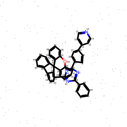 c1ccc(-c2nc(-c3ccc(-c4ccncc4)cc3)nc(-c3cccc4c3C3(c5ccccc5Oc5ccccc53)c3ccccc3-4)n2)cc1